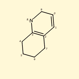 C1=CC2=C(CCCC2)[N]C1